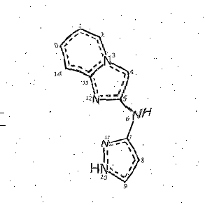 c1ccn2cc(Nc3cc[nH]n3)nc2c1